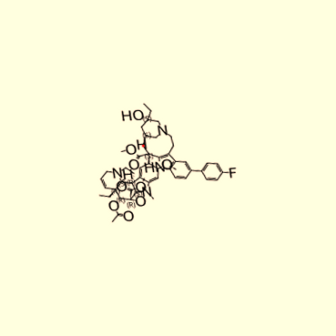 CC[C@]1(O)C[C@H]2CN(CCc3c([nH]c4ccc(-c5ccc(F)cc5)cc34)[C@@](C(=O)OC)(C3C=C4C(=CC3OC)N(C)[C@@]35O[C@]3(C(=O)OC)[C@H](OC(C)=O)[C@]3(CC)C=CCN6CC[C@]45[C@@H]63)C2)C1